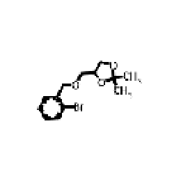 CC1(C)OCC(COCc2ccccc2Br)O1